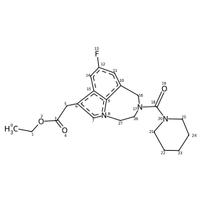 CCOC(=O)Cc1cn2c3c(cc(F)cc13)CN(C(=O)N1CCCCC1)CC2